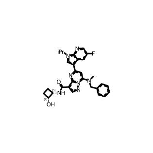 CC(C)n1cc(-c2cc(N(C)Cc3ccccc3)n3ncc(C(=O)N[C@H]4CC[C@H]4O)c3n2)c2cc(F)cnc21